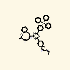 C=C1/C=C\C=C(\c2nc(C3=CCC(C)(/C=C\C=C/C)C=C3)nc(-c3ccc(S(c4ccccc4)(c4ccccc4)c4ccccc4)cc3)n2)Cc2ccccc2O1